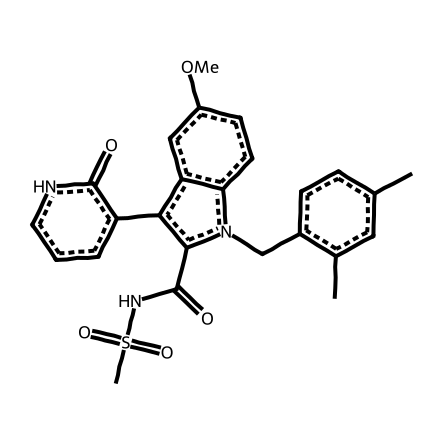 COc1ccc2c(c1)c(-c1ccc[nH]c1=O)c(C(=O)NS(C)(=O)=O)n2Cc1ccc(C)cc1C